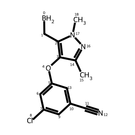 BCc1c(Oc2cc(Cl)cc(C#N)c2)c(C)nn1C